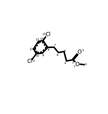 COC(=O)CCCCc1cc(Cl)ccc1Cl